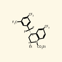 CCOC(=O)N1c2ccc(C(F)(F)F)cc2[C@@H](C(F)(F)c2cc(C(F)(F)F)cc(C(F)(F)F)c2)C[C@H]1CC